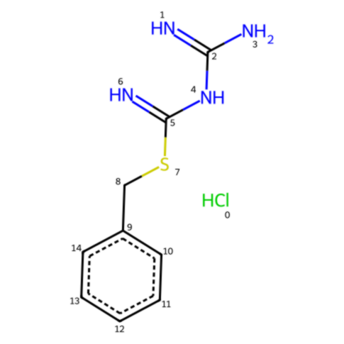 Cl.N=C(N)NC(=N)SCc1ccccc1